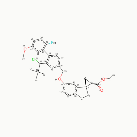 CCOC(=O)[C@@H]1C[C@]12CCc1ccc(OCc3ccc(-c4cc(OC)ccc4F)c(C(Cl)C(C)(C)C)c3)cc12